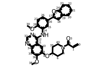 C=CC(=O)N1CCC(Oc2cc3c(Nc4cc(-c5cc6ccccc6o5)ccc4OC)ncnc3cc2OC)CC1